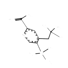 C=C(C)c1cc(CC(C)(C)C)c([Si](C)(C)C)cn1